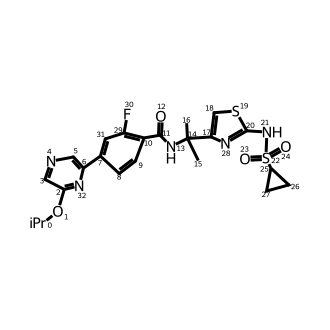 CC(C)Oc1cncc(-c2ccc(C(=O)NC(C)(C)c3csc(NS(=O)(=O)C4CC4)n3)c(F)c2)n1